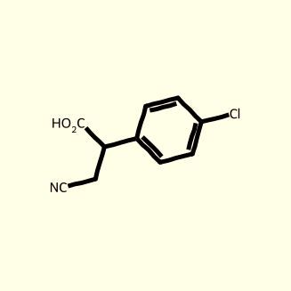 N#CCC(C(=O)O)c1ccc(Cl)cc1